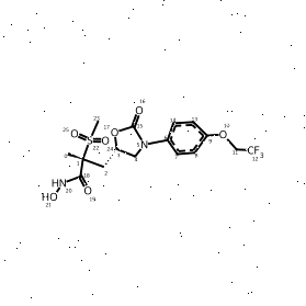 C[C@@](C[C@H]1CN(c2ccc(OCC(F)(F)F)cc2)C(=O)O1)(C(=O)NO)S(C)(=O)=O